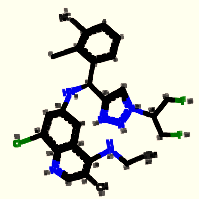 Cc1c(C#N)cccc1[C@H](Nc1cc(Cl)c2ncc(C#N)c(NCC(C)(C)C)c2c1)c1cn(C(CF)CF)nn1